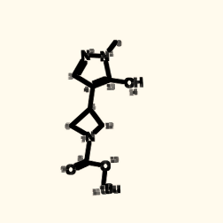 Cn1ncc(C2CN(C(=O)OC(C)(C)C)C2)c1O